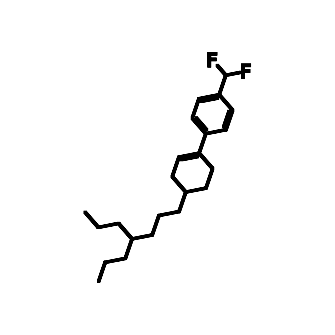 CCCC(CCC)CCCC1CC=C(c2ccc(C(F)F)cc2)CC1